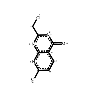 O=c1[nH]c(CCl)nc2nc(Cl)ccc12